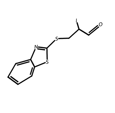 O=CC(I)CSc1nc2ccccc2s1